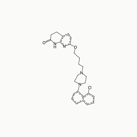 O=C1CCc2ccc(OCCCCN3CCN(c4cccc5cccc(Cl)c45)CC3)nc2N1